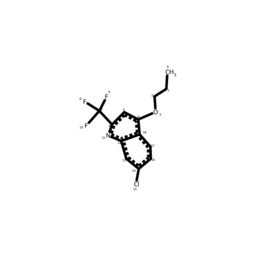 CCCOc1cc(C(F)(F)F)nc2cc(Cl)ccc12